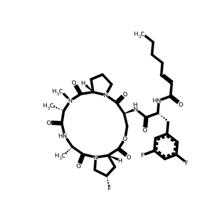 CCCC/C=C/C(=O)N[C@H](Cc1cc(F)cc(F)c1)C(=O)N[C@H]1COC(=O)[C@@H]2C[C@H](F)CN2C(=O)[C@H](C)NC(=O)[C@H](C)N(C)C(=O)[C@@H]2CCCN2C1=O